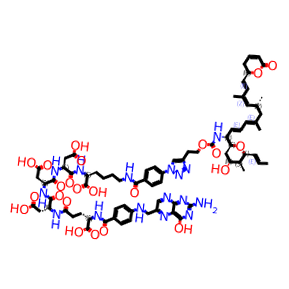 C/C=C/[C@@H]1O[C@H]([C@@H](/C=C/C=C(\C)C[C@@H](C)/C=C(C)\C=C\[C@H]2CC=CC(=O)O2)NC(=O)OCCc2cn(-c3ccc(C(=O)NCCCC[C@H](NC(=O)[C@H](CC(=O)O)NC(=O)[C@H](CC(=O)O)NC(=O)[C@@H](CC(=O)O)NC(=O)CC[C@H](NC(=O)c4ccc(NCc5cnc6nc(N)nc(O)c6n5)cc4)C(=O)O)C(=O)O)cc3)nn2)C[C@@H](O)[C@@H]1C